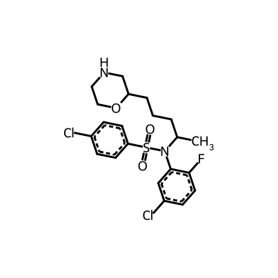 CC(CCCC1CNCCO1)N(c1cc(Cl)ccc1F)S(=O)(=O)c1ccc(Cl)cc1